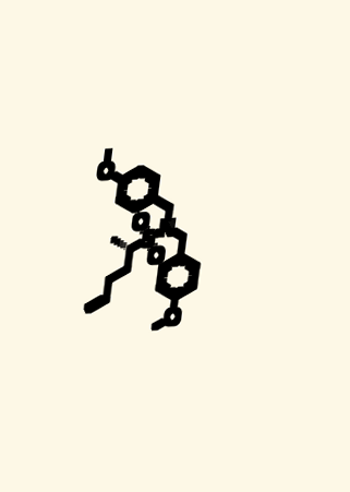 C=CCC[C@H](C)S(=O)(=O)N(Cc1ccc(OC)cc1)Cc1ccc(OC)cc1